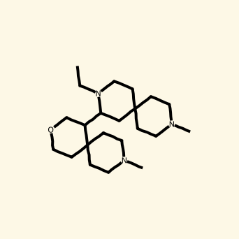 CCN1CCC2(CCN(C)CC2)CC1C1COCCC12CCN(C)CC2